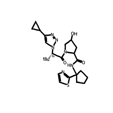 CC(C)(C)[C@@H](C(=O)N1CC(O)CC1C(=O)NC1(c2nccs2)CCCC1)n1cc(C2CC2)nn1